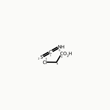 N=C=S.O=C(O)CCl